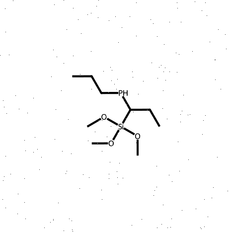 CCCPC(CC)[Si](OC)(OC)OC